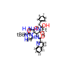 CCC(O)(Cc1ccccc1)NC(=O)C(NC(=O)c1ccc2ccccc2n1)C(C(N)=O)N(CC(C)C)C(=O)NC(C)(C)C